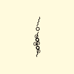 CCCCCCC[C@H]1CC[C@H](CCCOc2ccc(OC(=O)c3ccc(OCCCC)cc3)cc2)CC1